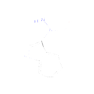 NN(P=O)c1c[nH]c2ccccc12